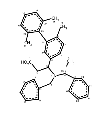 Cc1ccc(C(CC(=O)O)N(Cc2ccccc2)[C@H](C)c2ccccc2)cc1-c1c(C)cccc1C